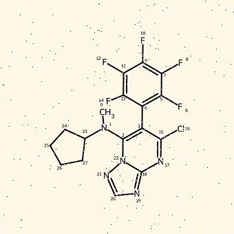 CN(c1c(-c2c(F)c(F)c(F)c(F)c2F)c(Cl)nc2ncnn12)C1CCCC1